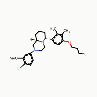 COc1cc(N2CCN3[C@@H](CCC[C@@H]3c3ccc(OCCCCl)c(C)c3C)C2)ccc1Cl